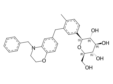 Cc1ccc([C@@H]2O[C@H](CO)[C@@H](O)[C@H](O)[C@H]2O)cc1Cc1ccc2c(c1)N(Cc1ccccc1)CCO2